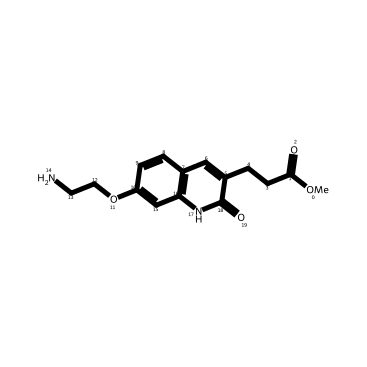 COC(=O)CCc1cc2ccc(OCCN)cc2[nH]c1=O